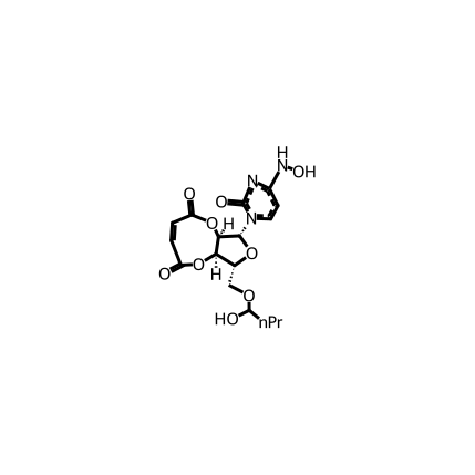 CCCC(O)OC[C@H]1O[C@@H](n2ccc(NO)nc2=O)[C@@H]2OC(=O)/C=C\C(=O)O[C@@H]21